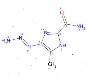 Cc1[nH]c(C(N)=O)nc1N=NN